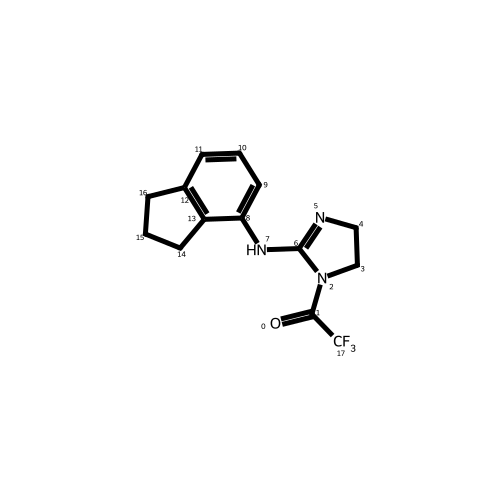 O=C(N1CCN=C1Nc1cccc2c1CCC2)C(F)(F)F